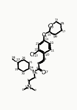 CN(C)CCN(C(=O)C=Cc1ccc(OC2CCCCO2)cc1Cl)[C@H]1CC[C@H](C)CC1